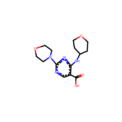 O=C(O)c1cnc(N2CCOCC2)nc1NC1CCOCC1